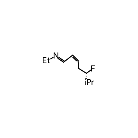 CC/N=C/C=C\C[C@H](F)C(C)C